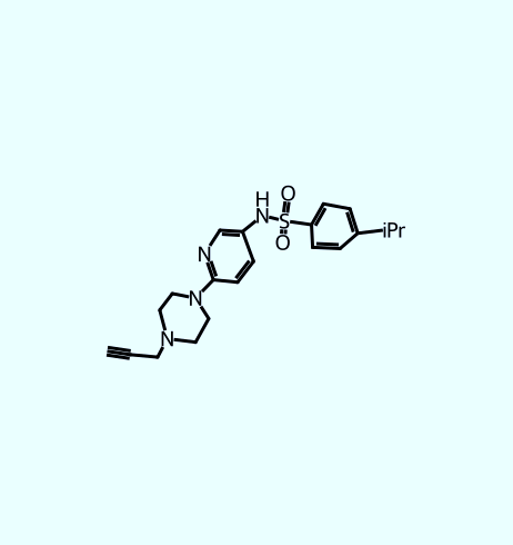 C#CCN1CCN(c2ccc(NS(=O)(=O)c3ccc(C(C)C)cc3)cn2)CC1